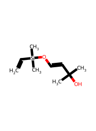 C=C[Si](C)(C)OC=CC(C)(C)O